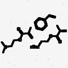 C=C(C)C(=O)OCCCCCCCCCCCC.C=C(C)C(=O)OCCN(C)C.C=Cc1ccccc1